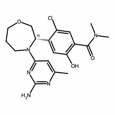 Cc1cc(N2CCCOC[C@@H]2c2cc(O)c(C(=O)N(C)C)cc2Cl)nc(N)n1